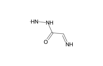 [NH]NC(=O)C=N